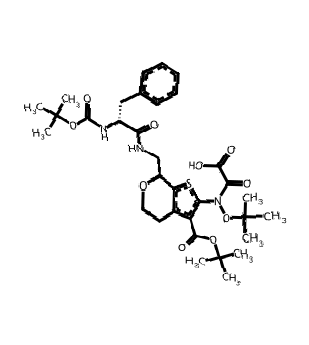 CC(C)(C)OC(=O)N[C@H](Cc1ccccc1)C(=O)NCC1OCCc2c1sc(N(OC(C)(C)C)C(=O)C(=O)O)c2C(=O)OC(C)(C)C